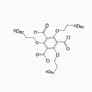 CCCCCCCCCCCCOc1c(C(=O)Cl)c(OCCCCCCCCCCCC)c(C(=O)Cl)c(OCCCCCCCCCCCC)c1C(=O)Cl